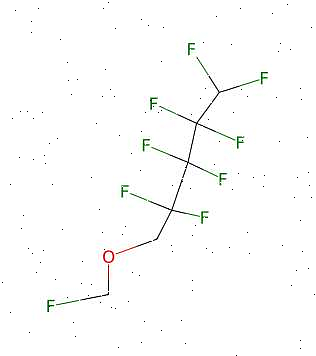 FCOCC(F)(F)C(F)(F)C(F)(F)C(F)F